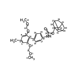 COCOc1cc(C)cc(OCOC)c1-c1ccc(NC(=O)OC23CC4CC(CC(C4)C2)C3)cc1